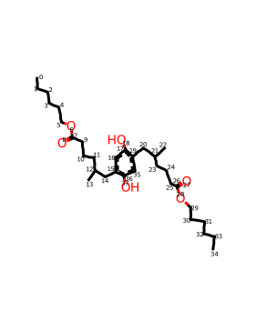 CCCCCCOC(=O)CCCC(C)Cc1cc(O)c(CC(C)CCCC(=O)OCCCCCC)cc1O